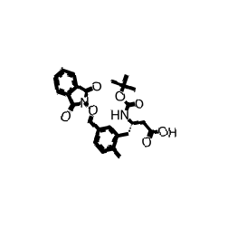 Cc1ccc(CON2C(=O)c3ccccc3C2=O)cc1C[C@@H](CC(=O)O)NC(=O)OC(C)(C)C